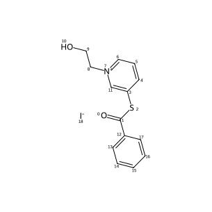 O=C(Sc1ccc[n+](CCO)c1)c1ccccc1.[I-]